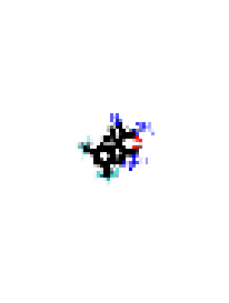 Cc1n[nH]c2c1C(c1cc(C(F)(F)F)cc(C(F)(F)F)c1)(C(C)C)C(C#N)C(N)O2